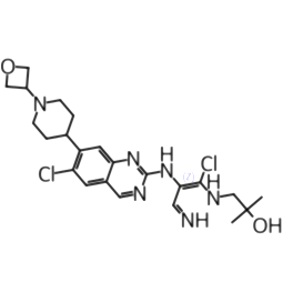 CC(C)(O)CN/C(Cl)=C(\C=N)Nc1ncc2cc(Cl)c(C3CCN(C4COC4)CC3)cc2n1